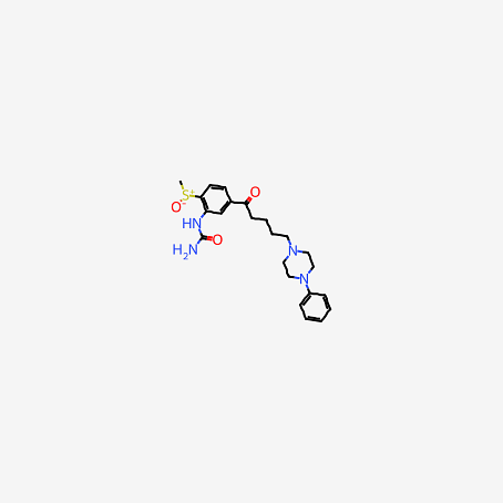 C[S+]([O-])c1ccc(C(=O)CCCCN2CCN(c3ccccc3)CC2)cc1NC(N)=O